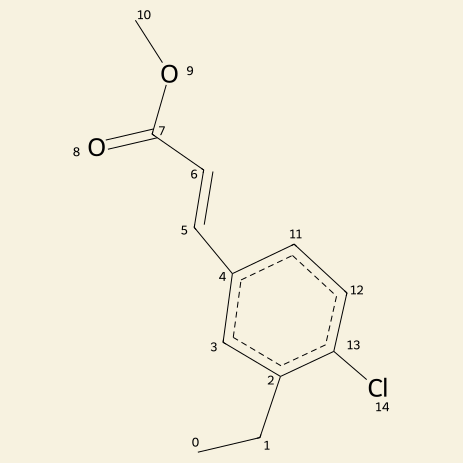 CCc1cc(/C=C/C(=O)OC)ccc1Cl